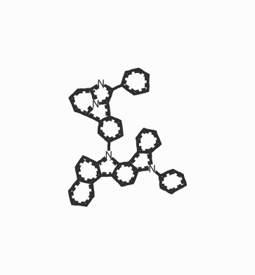 c1ccc(-c2nc3cccc4c5cc(-n6c7ccc8ccccc8c7c7ccc8c(c9ccccc9n8-c8ccccc8)c76)ccc5c2n34)cc1